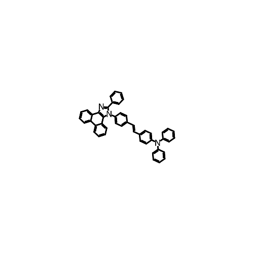 C(=Cc1ccc(-n2c(-c3ccccc3)nc3c4ccccc4c4ccccc4c32)cc1)c1ccc(N(c2ccccc2)c2ccccc2)cc1